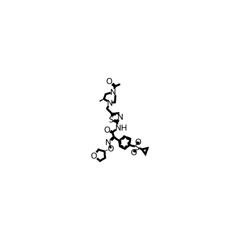 CC(=O)N1CCN(Cc2cnc(NC(=O)/C(=N/O[C@@H]3CCOC3)c3ccc(S(=O)(=O)C4CC4)cc3)s2)[C@@H](C)C1